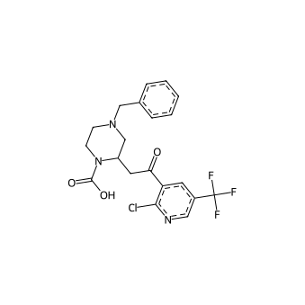 O=C(CC1CN(Cc2ccccc2)CCN1C(=O)O)c1cc(C(F)(F)F)cnc1Cl